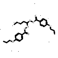 [CH2]CCC[C](OOC(=O)c1ccc(OCCC)cc1)OOC(=O)c1ccc(OCCC)cc1